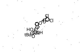 CC(C)(C)OC(=O)NC(CO)(CO)CN1CCc2c(OCc3cc4c(Cl)cc(Cl)cc4o3)cccc21